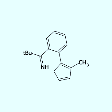 CC1=C(c2ccccc2C(=N)C(C)(C)C)CC=C1